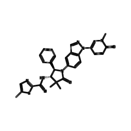 Cc1cnc(C(=O)N[C@@H]2[C@@H](c3ccccc3)N(c3ccc4c(cnn4-c4ccc(=O)n(C)c4)c3)C(=O)C2(C)C)s1